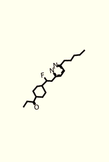 CCCCCc1ccc(CC(F)C2CCC(C(=O)CC)CC2)nn1